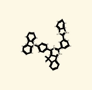 CC1(C)c2ccccc2-c2nc(-c3cccc(-c4nc5ccccc5s4)c3)nc(-c3ccc(-n4c5ccccc5c5ccccc54)cc3)c21